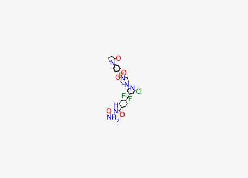 NC(=O)CNC(=O)[C@H]1CC[C@@H](C(F)(F)c2cc(Cl)nc(N3CCN(S(=O)(=O)c4ccc(N5CCCC5=O)cc4)CC3)c2)CC1